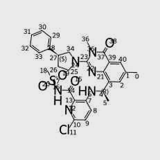 Cc1cc([C@@H](C)Nc2ccc(Cl)nc2C(=O)NS(C)(=O)=O)c2nc(N3CC[C@@H](c4ccccc4)C3)n(C)c(=O)c2c1